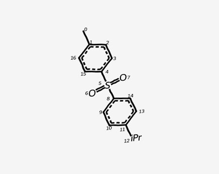 Cc1ccc(S(=O)(=O)c2ccc(C(C)C)cc2)cc1